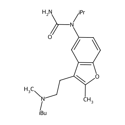 CCC(C)N(C)CCc1c(C)oc2ccc(N(C(N)=O)C(C)C)cc12